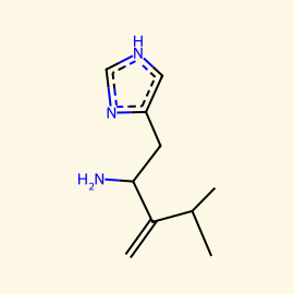 C=C(C(C)C)C(N)Cc1c[nH]cn1